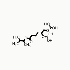 CC(C)C(C)OC(=O)CCC[C@H](CON(O)O)ON(O)O